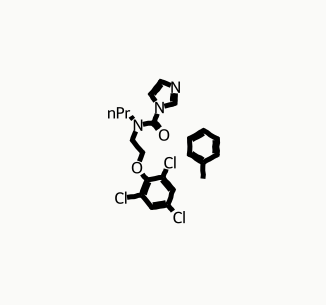 CCCN(CCOc1c(Cl)cc(Cl)cc1Cl)C(=O)n1ccnc1.Cc1ccccc1